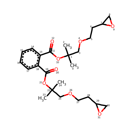 CC(C)(COCCC1CO1)OC(=O)c1ccccc1C(=O)OC(C)(C)COCCC1CO1